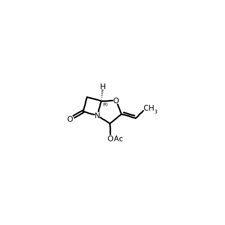 CC=C1O[C@@H]2CC(=O)N2C1OC(C)=O